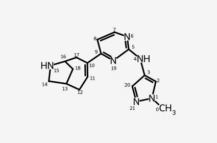 Cn1cc(Nc2nccc(C3=CCC4CNC(C3)C4)n2)cn1